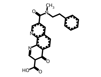 CN(CCc1ccccc1)C(=O)c1cnc2c3c(ccc2c1)C(=O)C(C(=O)O)C=N3